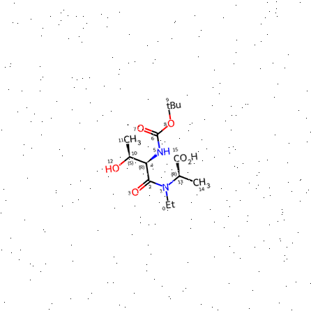 CCN(C(=O)[C@H](NC(=O)OC(C)(C)C)[C@H](C)O)[C@H](C)C(=O)O